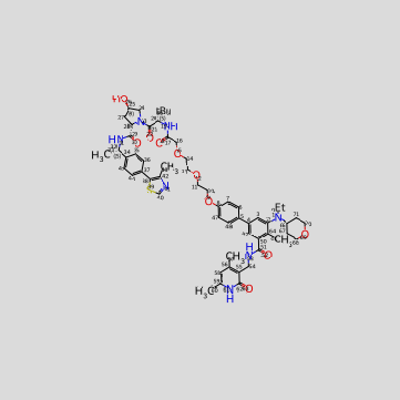 CCN(c1cc(-c2ccc(OCCOCCOCC(=O)N[C@H](C(=O)N3C[C@H](O)C[C@H]3C(=O)N[C@@H](C)c3ccc(-c4scnc4C)cc3)C(C)(C)C)cc2)cc(C(=O)NCc2c(C)cc(C)[nH]c2=O)c1C)C1CCOCC1